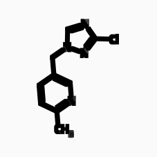 Cc1ccc(Cn2cnc(Cl)n2)cn1